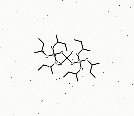 CCC(C)O[Si](OC(C)CC)(OC(C)CC)OC([SiH3])(Cl)O[Si](OC(C)CC)(OC(C)CC)OC(C)CC